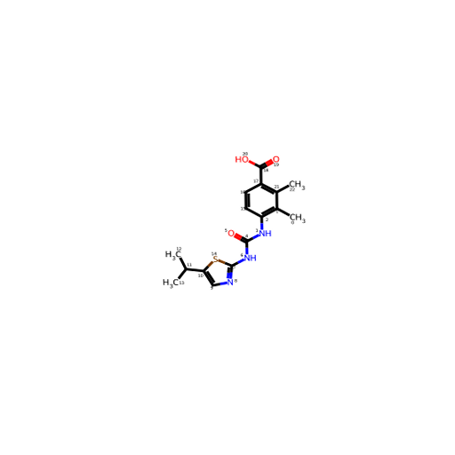 Cc1c(NC(=O)Nc2ncc(C(C)C)s2)ccc(C(=O)O)c1C